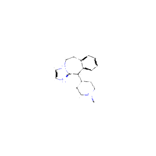 CN1CCC(C2c3ccccc3CCn3ccnc32)CC1